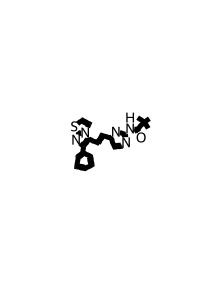 CC(C)(C)C(=O)Nc1nccc(C=Cc2c(-c3ccccc3)nc3sccn23)n1